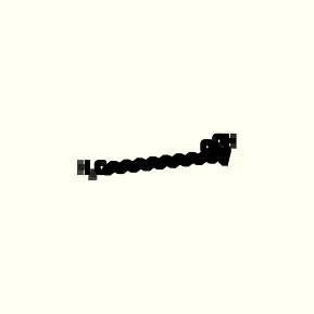 CCCCCCCCCCCCCCCCCCC1(C(=O)O)CC1